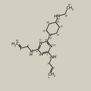 C=CCNc1nc(NCC=C)nc(N2CCC(NCC)CC2)n1